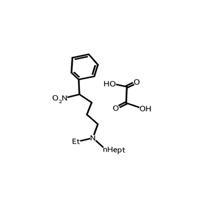 CCCCCCCN(CC)CCCC(c1ccccc1)[N+](=O)[O-].O=C(O)C(=O)O